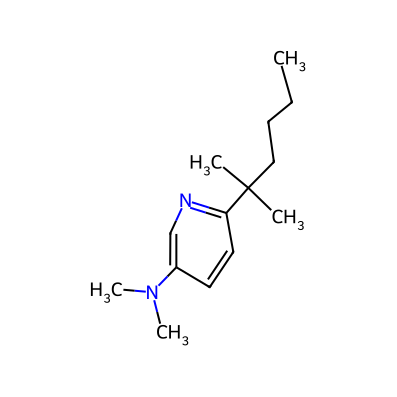 CCCCC(C)(C)c1ccc(N(C)C)cn1